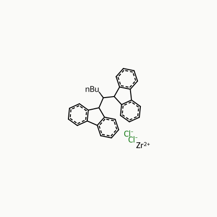 CCCCC(C1c2ccccc2-c2ccccc21)C1c2ccccc2-c2ccccc21.[Cl-].[Cl-].[Zr+2]